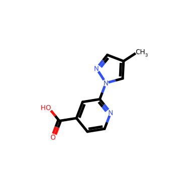 Cc1cnn(-c2cc(C(=O)O)ccn2)c1